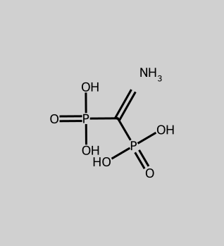 C=C(P(=O)(O)O)P(=O)(O)O.N